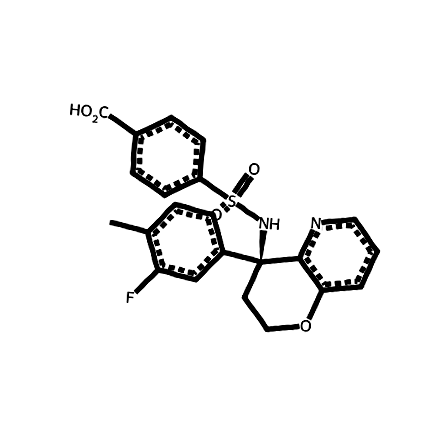 Cc1ccc([C@@]2(NS(=O)(=O)c3ccc(C(=O)O)cc3)CCOc3cccnc32)cc1F